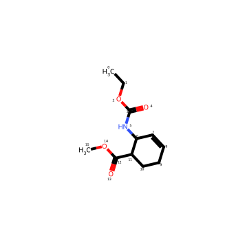 CCOC(=O)NC1C=CCCC1C(=O)OC